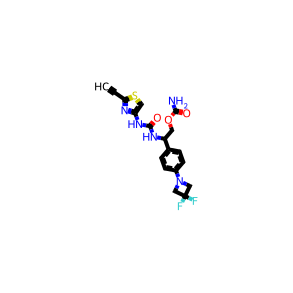 C#Cc1nc(NC(=O)NC(COC(N)=O)c2ccc(N3CC(F)(F)C3)cc2)cs1